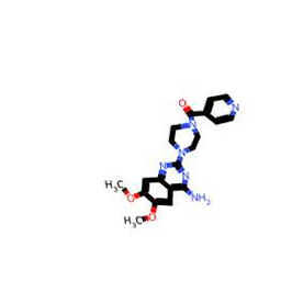 COc1cc2nc(N3CCN(C(=O)c4ccncc4)CC3)nc(N)c2cc1OC